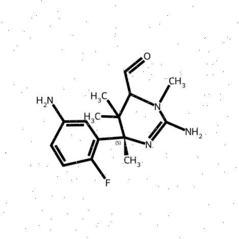 CN1C(N)=N[C@](C)(c2cc(N)ccc2F)C(C)(C)C1C=O